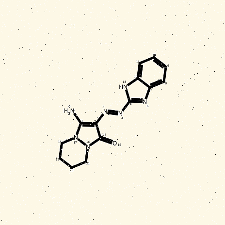 Nc1c(N=Nc2nc3ccccc3[nH]2)c(=O)n2n1CCCC2